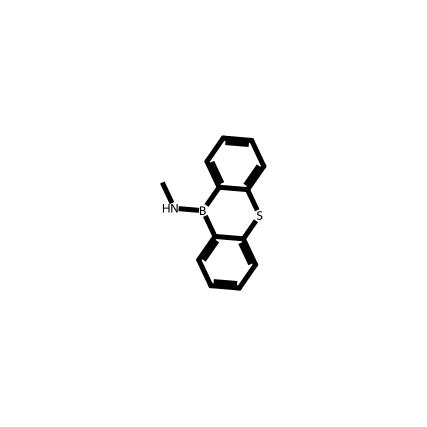 CNB1c2ccccc2Sc2ccccc21